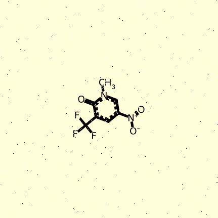 Cn1cc([N+](=O)[O-])cc(C(F)(F)F)c1=O